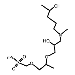 CCCS(=O)(=O)COCC(C)OCC(O)CN(C)CCCC(C)O